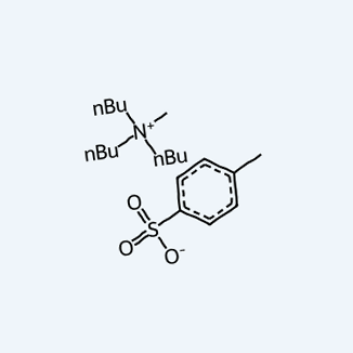 CCCC[N+](C)(CCCC)CCCC.Cc1ccc(S(=O)(=O)[O-])cc1